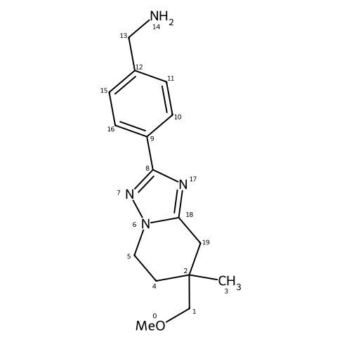 COCC1(C)CCn2nc(-c3ccc(CN)cc3)nc2C1